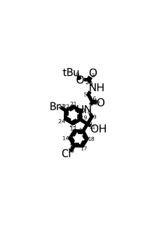 CC(C)(C)OC(=O)NCC(=O)NCC(O)(c1ccc(Cl)cc1)c1ccc(Br)cc1